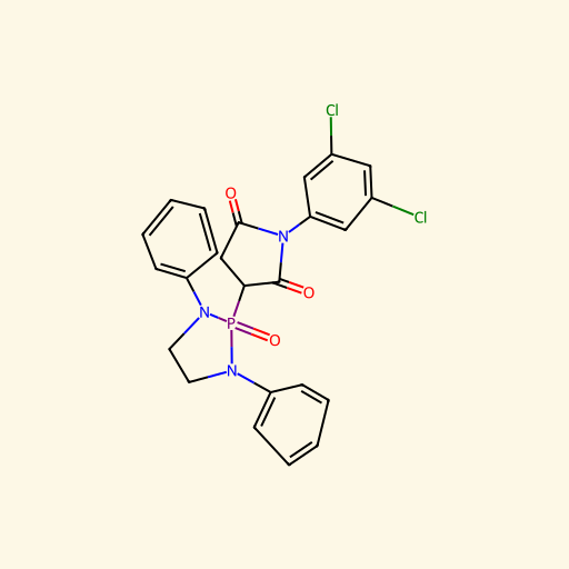 O=C1CC(P2(=O)N(c3ccccc3)CCN2c2ccccc2)C(=O)N1c1cc(Cl)cc(Cl)c1